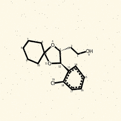 OCC[C@H]1OC2(CCCCC2)O[C@@H]1c1ccccc1Cl